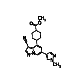 COC(=O)C1CCC(c2cc(-c3cnn(C)c3)cn3ncc(C#N)c23)CC1